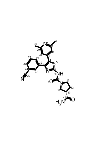 Cc1cc(-c2sc(NC(=O)N3CC[C@H](C(N)=O)C3)nc2-c2cccc(C#N)c2)cc(C)n1